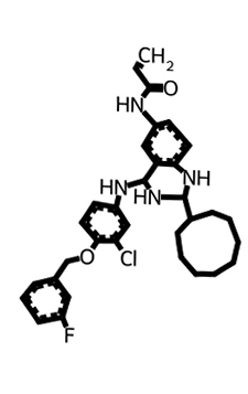 C=CC(=O)Nc1ccc2c(c1)C(Nc1ccc(OCc3cccc(F)c3)c(Cl)c1)NC(C1CCCCCCCC1)N2